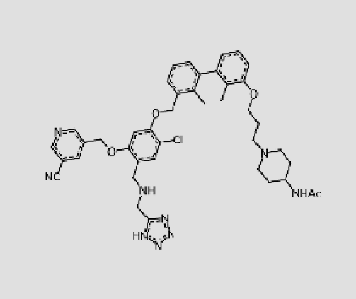 CC(=O)NC1CCN(CCCOc2cccc(-c3cccc(COc4cc(OCc5cncc(C#N)c5)c(CNCc5nnn[nH]5)cc4Cl)c3C)c2C)CC1